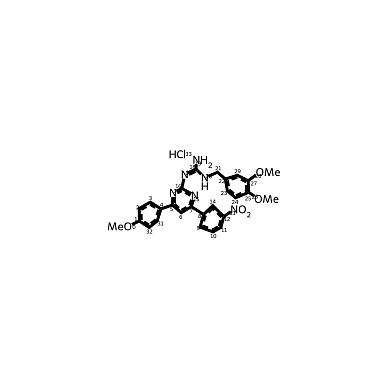 COc1ccc(-c2cc(-c3cccc([N+](=O)[O-])c3)nc(N=C(N)NCc3ccc(OC)c(OC)c3)n2)cc1.Cl